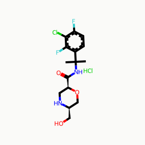 CC(C)(NC(=O)[C@@H]1CN[C@H](CO)CO1)c1ccc(F)c(Cl)c1F.Cl